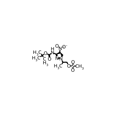 CC(COS(C)(=O)=O)n1cc([N+](=O)[O-])c(NC(=O)OC(C)(C)C)n1